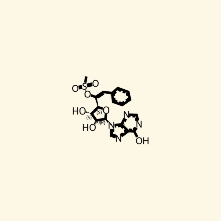 CS(=O)(=O)OC(=Cc1ccccc1)[C@H]1O[C@@H](n2cnc3c(O)ncnc32)[C@H](O)[C@@H]1O